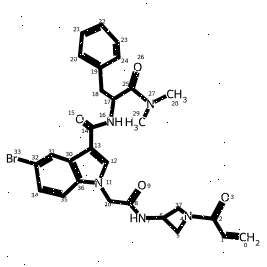 C=CC(=O)N1CC(NC(=O)Cn2cc(C(=O)NC(Cc3ccccc3)C(=O)N(C)C)c3cc(Br)ccc32)C1